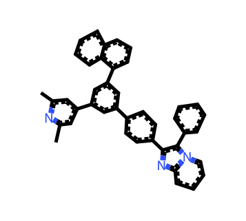 Cc1cc(-c2cc(-c3ccc(-c4nc5ccccn5c4-c4ccccc4)cc3)cc(-c3cccc4ccccc34)c2)cc(C)n1